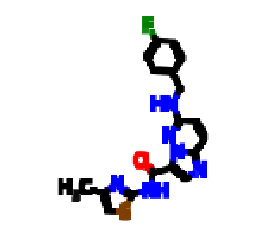 Cc1csc(NC(=O)c2cnc3ccc(NCc4ccc(F)cc4)nn23)n1